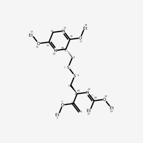 C=C(OCC)[C@@H](CSSC[C@@H]1N=C(OCC)CN=C1OCC)/N=C(\CC)OCC